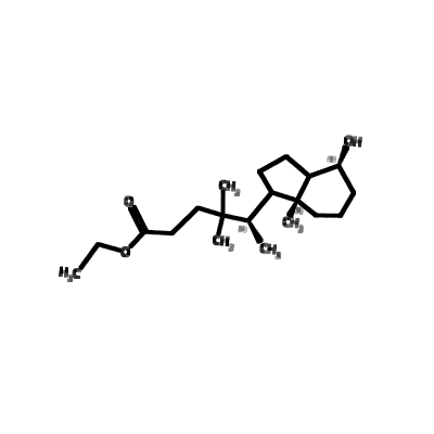 CCOC(=O)CCC(C)(C)[C@H](C)C1CCC2[C@@H](O)CCC[C@]12C